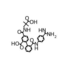 CC(C)(CNC(=O)c1ccc(-c2ccccc2C(=O)Nc2ccc(C(=N)N)cc2)c(C(=O)O)c1)C(=O)O